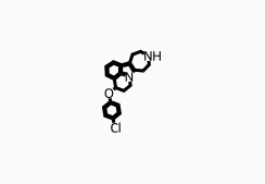 Clc1ccc(OC2CCn3c4c(c5cccc2c53)CCNCC4)cc1